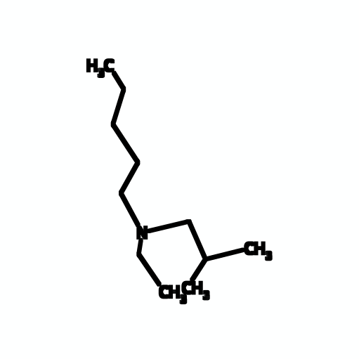 CCCCCN(CC)CC(C)C